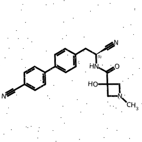 CN1CC(O)(C(=O)N[C@H](C#N)Cc2ccc(-c3ccc(C#N)cc3)cc2)C1